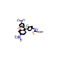 CCN(CC)c1ccc2c(c1)OC1=CC(N(CC)CC)C=CC1=C2c1ccc(NC(=S)NC)cc1C(=O)O